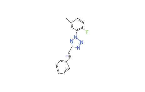 Cc1ccc(F)c(-n2nnc(/C=C/c3ccccc3)n2)c1